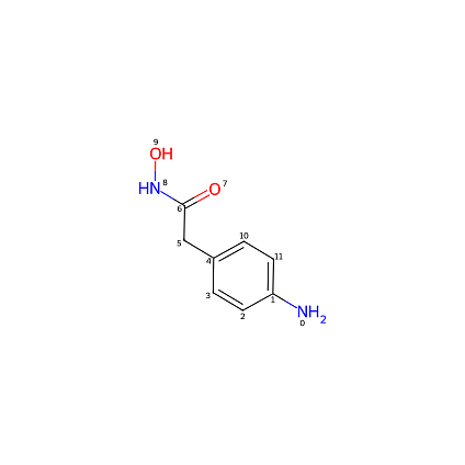 Nc1ccc(CC(=O)NO)cc1